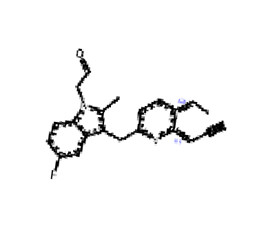 C#C/C=c1/nc(Cc2c(C)n(CC=O)c3ccc(F)cc23)cc/c1=C/C